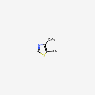 COc1ncsc1C#N